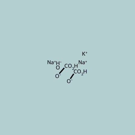 O=C([O-])O.O=C([O-])O.[K+].[Na+].[Na+].[OH-]